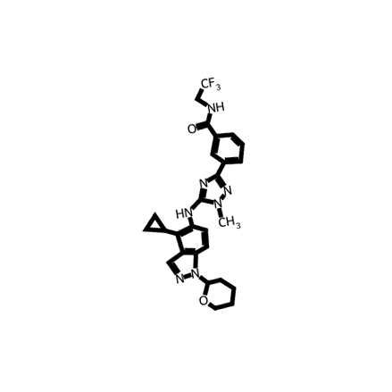 Cn1nc(-c2cccc(C(=O)NCC(F)(F)F)c2)nc1Nc1ccc2c(cnn2C2CCCCO2)c1C1CC1